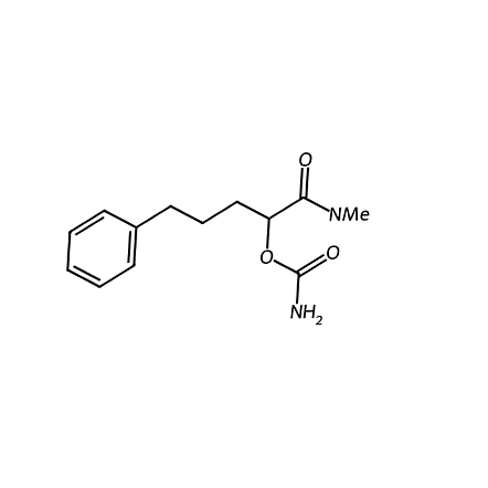 CNC(=O)C(CCCc1ccccc1)OC(N)=O